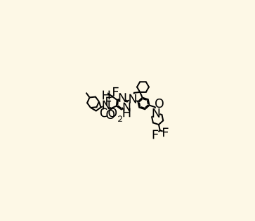 CC1CC2CC(C1)C(NC(=O)c1cnc(N3CC4(CCCCC4)c4cc(C(=O)N5CCC(C(F)F)CC5)ccc43)nc1C(C)(F)F)(C(=O)O)C2